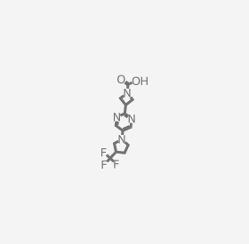 O=C(O)N1CC(c2ncc(N3CCC(C(F)(F)F)C3)cn2)C1